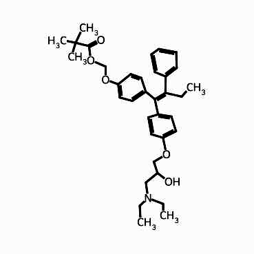 CCC(=C(c1ccc(OCOC(=O)C(C)(C)C)cc1)c1ccc(OCC(O)CN(CC)CC)cc1)c1ccccc1